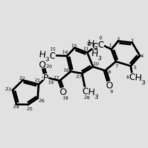 Cc1cccc(C)c1C(=O)c1c(C)cc(C)c(C(=O)[P](=O)c2ccccc2)c1C